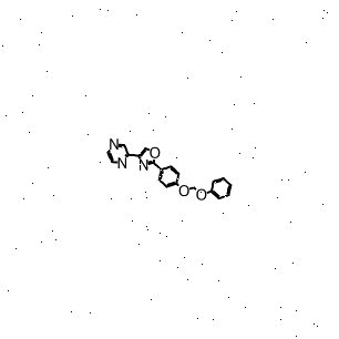 c1ccc(OCOc2ccc(-c3nc(-c4cnccn4)co3)cc2)cc1